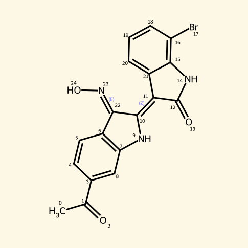 CC(=O)c1ccc2c(c1)NC(=C1\C(=O)Nc3c(Br)cccc31)/C2=N/O